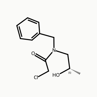 C[C@H](O)CN(Cc1ccccc1)C(=O)CCl